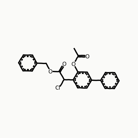 CC(=O)Oc1cc(-c2ccccc2)ccc1C(Cl)C(=O)OCc1ccccc1